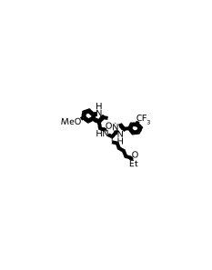 CCC(=O)CCCCC[C@H](NC(=O)Cc1c(C)[nH]c2ccc(OC)cc12)C1=[N+]C=C(c2cccc(C(F)(F)F)c2)N1